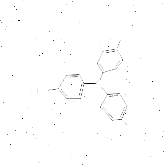 O=Cc1ccc(N(c2ccc(Cl)cc2)c2ccc(Cl)cc2)cc1